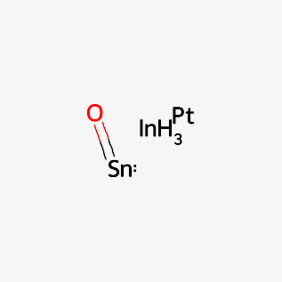 [InH3].[O]=[Sn].[Pt]